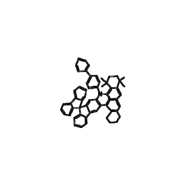 Cc1ccc2c(c1-c1cc3c(cc1N(c1ccc(-c4ccccc4)cc1)c1cccc4c1C(C)(C)CCC4(C)C)C1(c4ccccc4-c4ccccc41)c1ccccc1-3)CCCC2